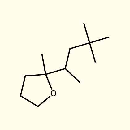 CC(CC(C)(C)C)C1(C)CCCO1